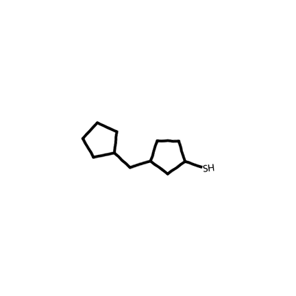 SC1CCC(CC2CCCC2)C1